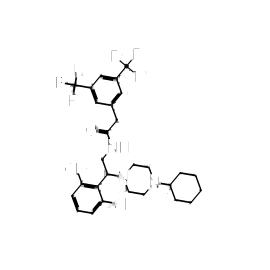 O=C(Cc1cc(C(F)(F)F)cc(C(F)(F)F)c1)NCC(c1c(Cl)cccc1Cl)N1CCN(C2CCCCC2)CC1